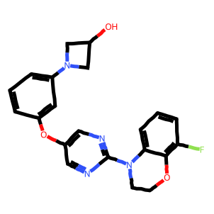 OC1CN(c2cccc(Oc3cnc(N4CCOc5c(F)cccc54)nc3)c2)C1